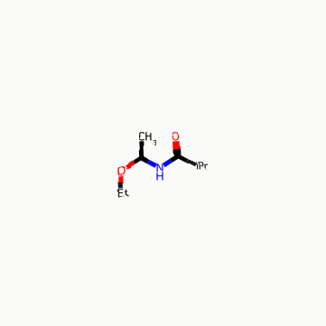 CCOC(C)NC(=O)C(C)C